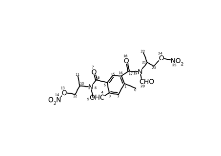 Cc1cc(C=O)c(C(=O)N(C)C(C)CO[N+](=O)[O-])cc1C(=O)N(C=O)C(C)CO[N+](=O)[O-]